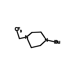 CCC(C)N1CCN(CC(F)(F)F)CC1